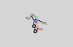 CCCCn1c(Cl)c(CCC(C)C)n(Cc2ccc(-c3ccccc3C(=O)O)cc2)c1=O